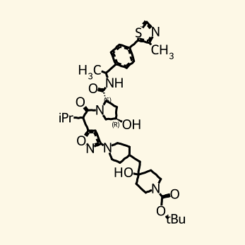 Cc1ncsc1-c1ccc(C(C)NC(=O)[C@@H]2C[C@@H](O)CN2C(=O)C(c2cc(N3CCC(CC4(O)CCN(C(=O)OC(C)(C)C)CC4)CC3)no2)C(C)C)cc1